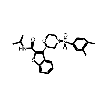 Cc1cc(S(=O)(=O)N2CCO[C@H](c3c(C(=O)NC(C)C)sc4ccccc34)C2)ccc1F